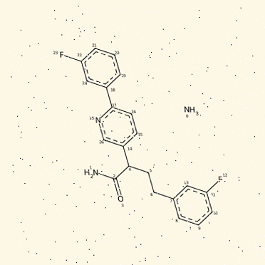 N.NC(=O)C(CCc1cccc(F)c1)c1ccc(-c2cccc(F)c2)nc1